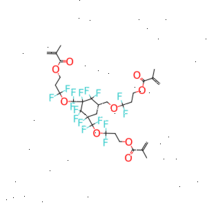 C=C(C)C(=O)OCCC(F)(F)OCC1CC(F)(C(F)(F)OC(F)(F)CCOC(=O)C(=C)C)C(F)(F)C(F)(C(F)(F)OC(F)(F)CCOC(=O)C(=C)C)C1(F)F